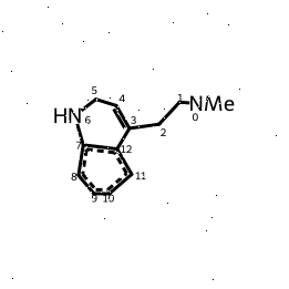 CNCCC1=CCNc2ccccc21